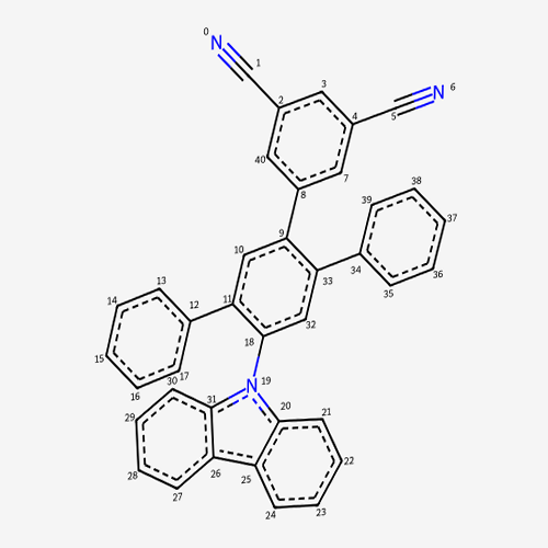 N#Cc1cc(C#N)cc(-c2cc(-c3ccccc3)c(-n3c4ccccc4c4ccccc43)cc2-c2ccccc2)c1